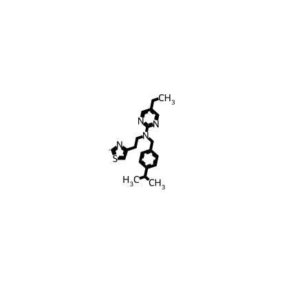 CCc1cnc(N(CCc2cs[c]n2)Cc2ccc(C(C)C)cc2)nc1